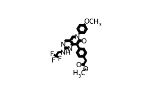 COC(=O)Cc1ccc(-c2c(=O)n(-c3ccc(OC)cc3)cc3cnc(NCC(F)(F)F)nc23)cc1